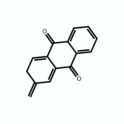 C=C1C=C2C(=O)c3ccccc3C(=O)C2=CC1